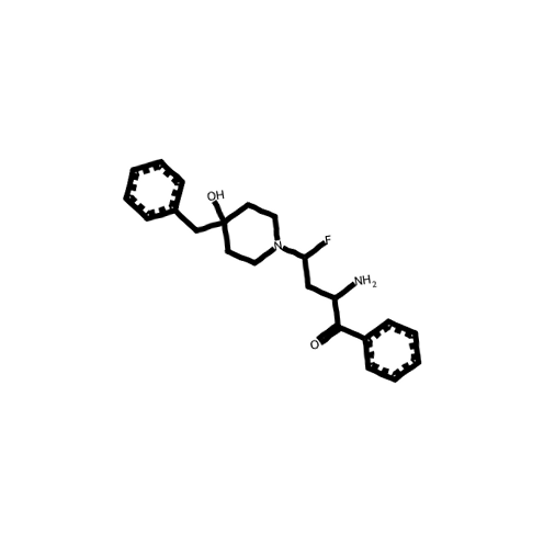 NC(CC(F)N1CCC(O)(Cc2ccccc2)CC1)C(=O)c1ccccc1